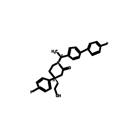 C[C@@H](c1ccc(-c2ccc(F)cc2)cc1)N1CC[C@](CCO)(c2ccc(F)cc2)CC1=O